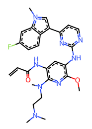 C=CC(=O)Nc1cc(Nc2nccc(-c3cn(C)c4cc(F)ccc34)n2)c(OC)nc1N(C)CCN(C)C